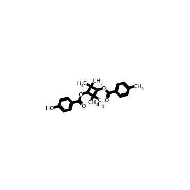 Cc1ccc(C(=O)OC2C(C)(C)C(OC(=O)c3ccc(O)cc3)C2(C)C)cc1